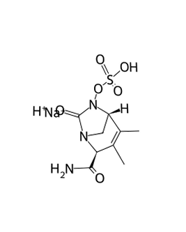 CC1=C(C)[C@@H]2CN(C(=O)N2OS(=O)(=O)O)[C@@H]1C(N)=O.[H+].[Na+]